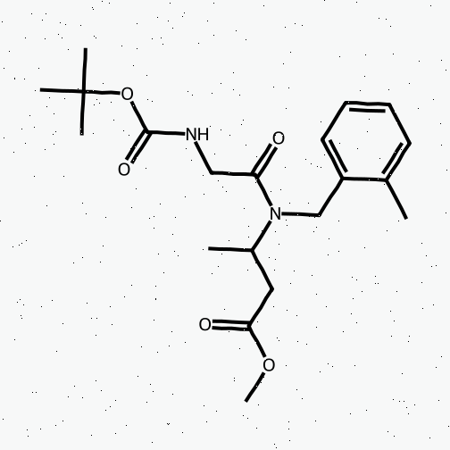 COC(=O)CC(C)N(Cc1ccccc1C)C(=O)CNC(=O)OC(C)(C)C